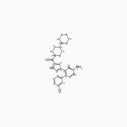 Nc1ncc(-c2cccc(Cl)c2)c(-c2c[nH]c(C(=O)N3CCC(N4CCCCC4)CC3)c2)n1